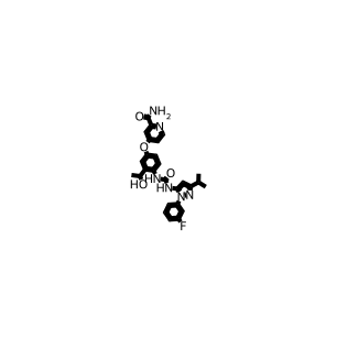 CC(C)c1cc(NC(=O)Nc2ccc(Oc3ccnc(C(N)=O)c3)cc2C(C)O)n(-c2cccc(F)c2)n1